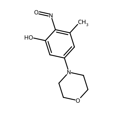 Cc1cc(N2CCOCC2)cc(O)c1N=O